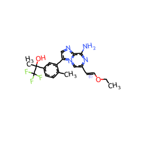 CCO/C=C/c1cn2c(-c3cc(C(C)(O)C(F)(F)F)ccc3C)cnc2c(N)n1